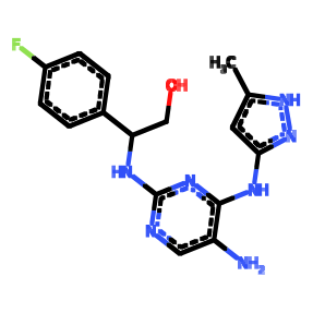 Cc1cc(Nc2nc(NC(CO)c3ccc(F)cc3)ncc2N)n[nH]1